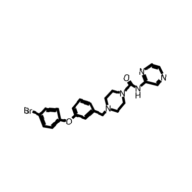 O=C(Nc1cnccn1)N1CCN(Cc2cccc(Oc3ccc(Br)cc3)c2)CC1